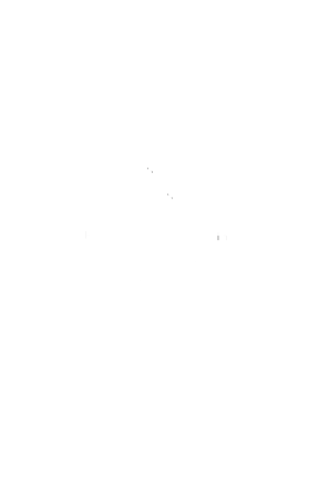 Cc1c(O)c(-c2c(C(C)C)cc(C(C)C)cc2C(C)C)nn1C(C)C